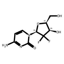 Nc1ccn([C@H]2O[C@@H](CO)[C@@H](O)C2(F)F)c(=O)n1